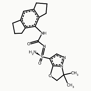 CC1(C)COc2c([S@](N)(=O)=NC(=O)Nc3c4c(cc5c3CCC5)CCC4)cnn21